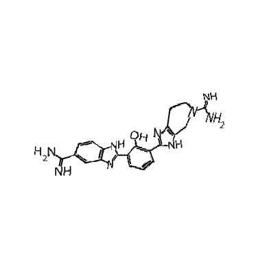 N=C(N)c1ccc2[nH]c(-c3cccc(-c4nc5c([nH]4)CN(C(=N)N)CC5)c3O)nc2c1